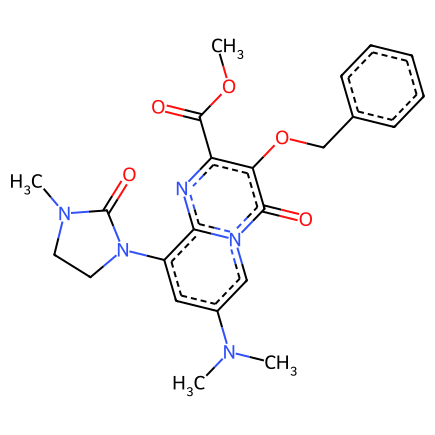 COC(=O)c1nc2c(N3CCN(C)C3=O)cc(N(C)C)cn2c(=O)c1OCc1ccccc1